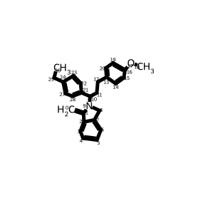 C=C1c2ccccc2CN1C(CCc1ccc(OC)cc1)c1ccc(CC)cc1